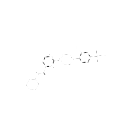 C[C@@H]1CN(c2ccc(C(C)(C)O)cc2F)CCN1c1nccc(C(=O)NC2CCCCC2)n1